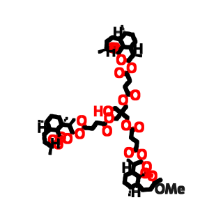 CO[C@@]1(C)CC[C@H]2[C@H](C)CC[C@H]3[C@@H](C)[C@H](OC(=O)CCC(=O)OCC(CO)(COC(=O)CCC(=O)O[C@@H]4O[C@@H]5O[C@@]6(C)CC[C@H]7[C@H](C)CC[C@@H]([C@H]4C)[C@@]57OO6)COC(=O)CCC(=O)O[C@@H]4O[C@@H]5O[C@@]6(C)CC[C@H]7[C@H](C)CC[C@@](C)([C@H]4C)[C@@]57OO6)OC[C@]32OO1